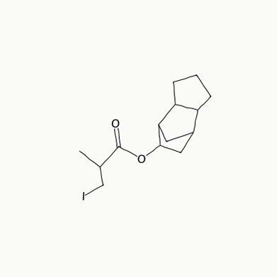 CC(CI)C(=O)OC1CC2CC1C1CCCC21